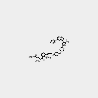 CNC(=O)CCC(C=O)C(=N)c1cccc(C#CCOC2CCN(CC3CCC(n4cc(-c5cnn6ccc(N7CC8CC7CO8)cc56)c(C(F)F)n4)CC3)CC2)c1NC